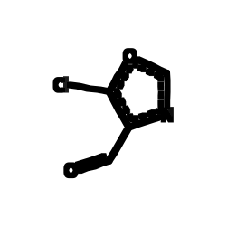 O=Cc1ncoc1Cl